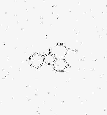 CC[C@@H](NC(C)=O)c1nccc2c1[nH]c1ccccc12